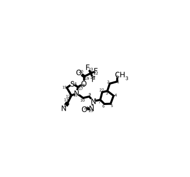 CCCC1CCCC(N(CCN2C(C#N)CSC2OC(=O)C(F)(F)F)N=O)C1